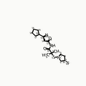 CC(C)(SN1CC[C@@H](F)C1)C(=O)Nc1cc(C2CCCC2)no1